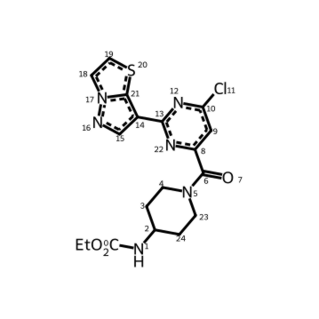 CCOC(=O)NC1CCN(C(=O)c2cc(Cl)nc(-c3cnn4ccsc34)n2)CC1